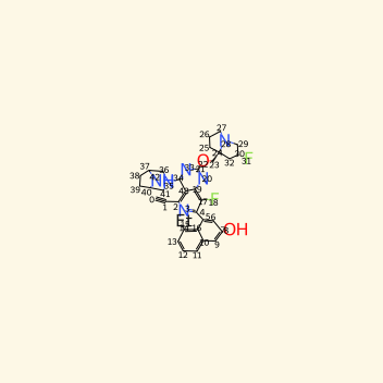 C#Cc1nc(-c2cc(O)cc3cccc(CC)c23)c(F)c2nc(OC[C@@]34CCCN3C[C@H](F)C4)nc(N3CC4CCC(C3)N4)c12